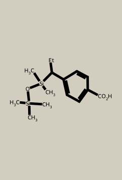 CCC(c1ccc(C(=O)O)cc1)[Si](C)(C)O[Si](C)(C)C